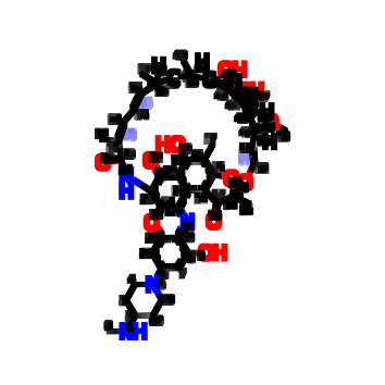 CNC1CCN(c2cc(O)c3nc4c5c6c7c(C)c(O)c5c(=O)c(c-4oc3c2)NC(=O)/C(C)=C\C=C\[C@H](C)C[C@@H](C)C[C@@H](O)[C@H](O)[C@H](C)[C@@H](OC)/C=C/O[C@@](C)(O7)C6=O)CC1